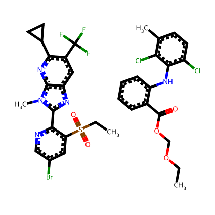 CCOCOC(=O)c1ccccc1Nc1c(Cl)ccc(C)c1Cl.CCS(=O)(=O)c1cc(Br)cnc1-c1nc2cc(C(F)(F)F)c(C3CC3)nc2n1C